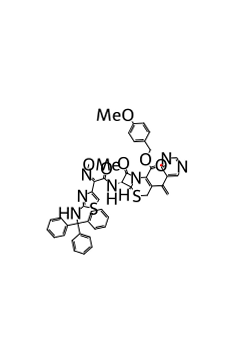 C=C(C1=C(C(=O)OCc2ccc(OC)cc2)N2C(=O)[C@@H](NC(=O)/C(=N\OC)c3csc(NC(c4ccccc4)(c4ccccc4)c4ccccc4)n3)[C@H]2SC1)c1cncnc1